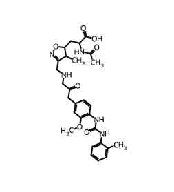 COc1cc(CC(=O)CNCC2=NOC(CC(NC(C)=O)C(=O)O)C2C)ccc1NC(=O)Nc1ccccc1C